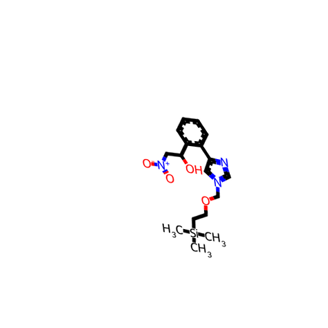 C[Si](C)(C)CCOCn1cnc(-c2ccccc2C(O)C[N+](=O)[O-])c1